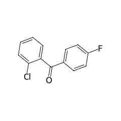 O=C(c1ccc(F)cc1)c1ccccc1Cl